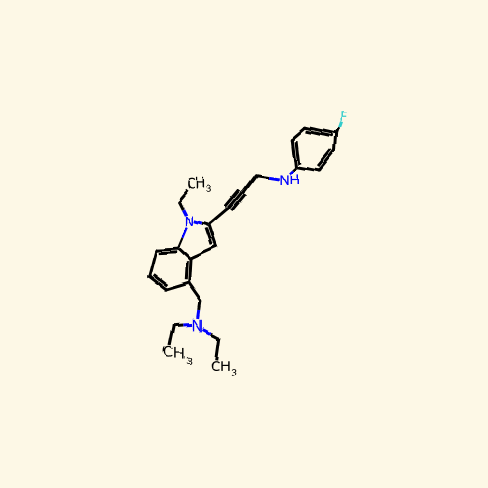 CCN(CC)Cc1cccc2c1cc(C#CCNc1ccc(F)cc1)n2CC